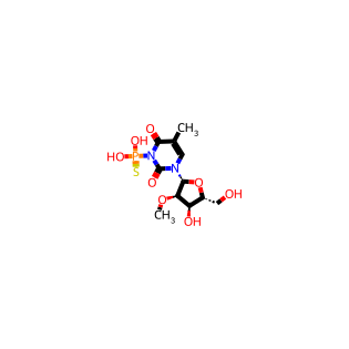 CO[C@@H]1[C@H](O)[C@@H](CO)O[C@H]1n1cc(C)c(=O)n(P(O)(O)=S)c1=O